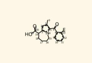 Cc1cc2n(c1C(=O)c1ccccc1F)CCCCC2C(=O)O